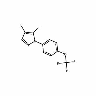 FC(F)(F)Oc1ccc(-n2ncc(I)c2Cl)cc1